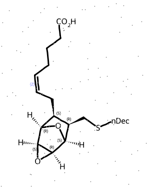 CCCCCCCCCCSC[C@@H]1[C@H](C/C=C\CCCC(=O)O)[C@H]2O[C@@H]1[C@H]1O[C@H]12